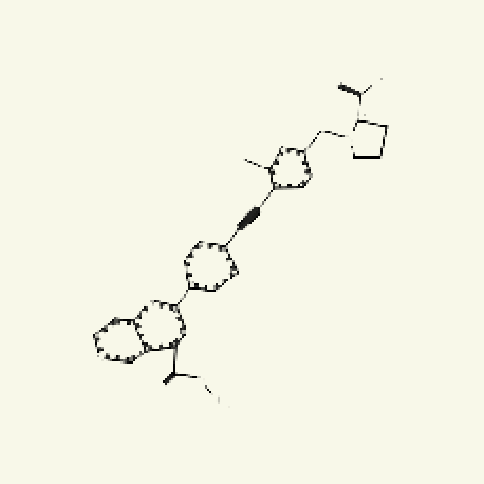 NNC(=O)c1cc(-c2ccc(C#Cc3ccc(CN4CCC[C@@H]4C(=O)O)cc3Cl)cc2)nc2ccncc12